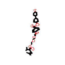 COc1ccc(-c2ccc(OC(=O)c3ccc(OCCOCCOCCOC(=O)C(CC(C)C)C(C)C)cc3)cc2)cc1